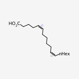 CCCCCC/C=C\CCCC/C=C\CCCC(=O)O